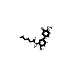 CCCCCC(=O)Nc1cc(-c2ccc(O)c(F)c2)ccc1O